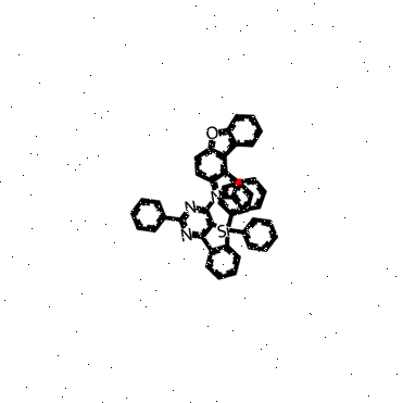 c1ccc(-c2nc3c(c(-n4c5ccccc5c5c6c(ccc54)oc4ccccc46)n2)[Si](c2ccccc2)(c2ccccc2)c2ccccc2-3)cc1